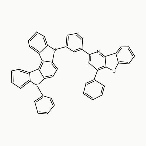 c1ccc(-c2nc(-c3cccc(-n4c5ccccc5c5c6c7ccccc7n(-c7ccccc7)c6ccc54)c3)nc3c2oc2ccccc23)cc1